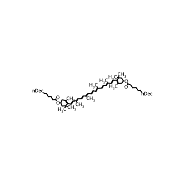 CCCCCCCCCCCCCCCC(=O)OC1CC(C)=C(/C=C/C(C)=C/C=C/C(C)=C/C=C/C=C(C)/C=C/C=C(C)/C=C/C2=C(C)CC(OC(=O)CCCCCCCCCCCCCCC)CC2(C)C)C(C)(C)C1